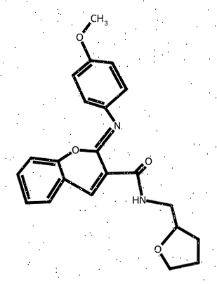 COc1ccc(/N=c2\oc3ccccc3cc2C(=O)NCC2CCCO2)cc1